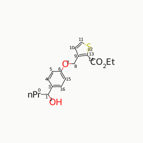 CCCC(O)c1ccc(OCc2ccsc2C(=O)OCC)cc1